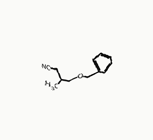 CC(CC#N)COCc1ccccc1